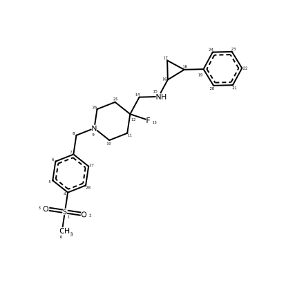 CS(=O)(=O)c1ccc(CN2CCC(F)(CNC3CC3c3ccccc3)CC2)cc1